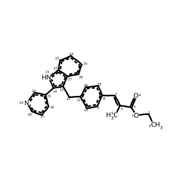 CCOC(=O)/C(C)=C/c1ccc(Cc2c(-c3cccnc3)[nH]c3ccccc23)cc1